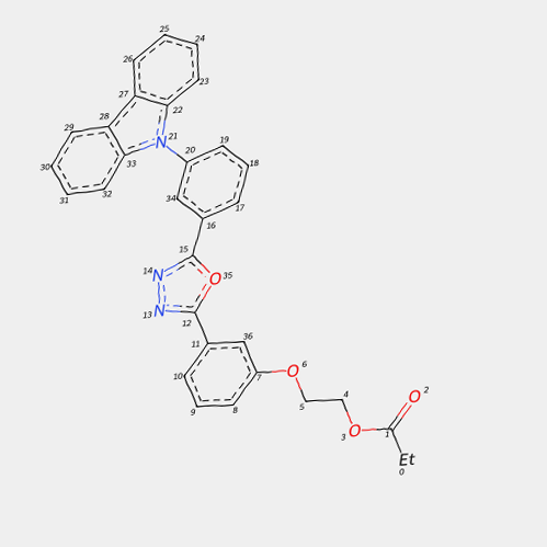 CCC(=O)OCCOc1cccc(-c2nnc(-c3cccc(-n4c5ccccc5c5ccccc54)c3)o2)c1